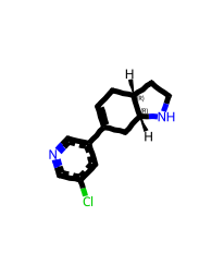 Clc1cncc(C2=CC[C@@H]3CCN[C@@H]3C2)c1